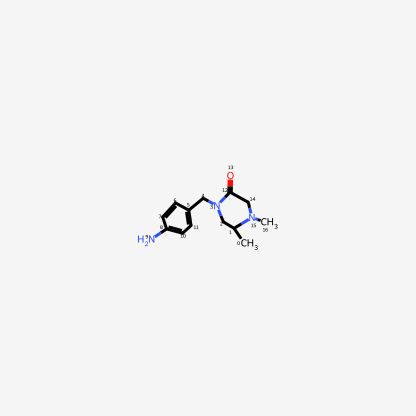 CC1CN(Cc2ccc(N)cc2)C(=O)CN1C